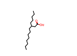 CCCCCCCCC(CCCCC)CC(=O)O